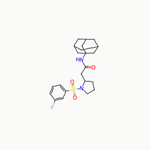 O=C(CC1CCCN1S(=O)(=O)c1cccc(F)c1)NC12CC3CC(CC(C3)C1)C2